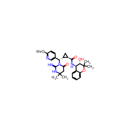 COc1ccc([C@H](C2C[C@H]2C(=O)N[C@@H]2c3ccccc3OC(C)(C)[C@H]2O)N2C(=N)NC(C)(C)CC2=O)cn1